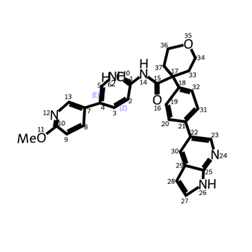 C=C(/C=C\C(=C/N)c1ccc(OC)nc1)NC(=O)C1(c2ccc(-c3cnc4[nH]ccc4c3)cc2)CCOCC1